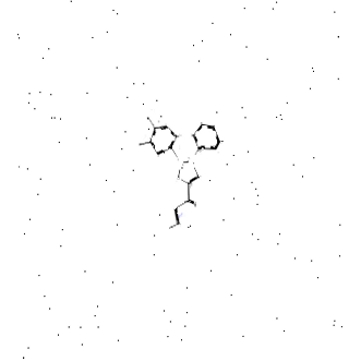 CC/C=C/C(=O)C1=CN(c2ccccc2)N(c2ccc(Cl)c(Cl)c2)C1